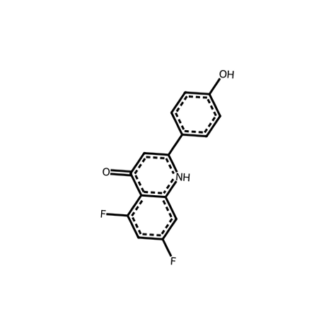 O=c1cc(-c2ccc(O)cc2)[nH]c2cc(F)cc(F)c12